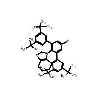 CC(C)(C)c1cc(-c2cc(Cl)cc(-c3cc(C(C)(C)C)cc(C(C)(C)C)c3)c2N2[C]SC3=C2CCCC3)cc(C(C)(C)C)c1